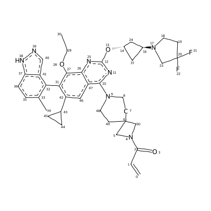 C=CC(=O)N1CC2(CCN(c3nc(O[C@H]4C[C@H](N5CCC(F)(F)C5)C4)nc4c(OCC)c(-c5c(C)ccc6[nH]ncc56)c(C5CC5)cc34)CC2)C1